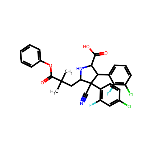 CC(C)(CC1NC(C(=O)O)C(c2cccc(Cl)c2F)C1(C#N)c1ccc(Cl)cc1F)C(=O)Oc1ccccc1